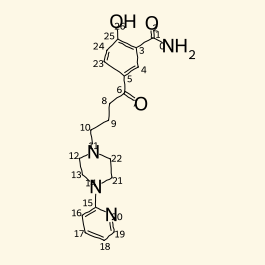 NC(=O)c1cc(C(=O)CCCN2CCN(c3ccccn3)CC2)ccc1O